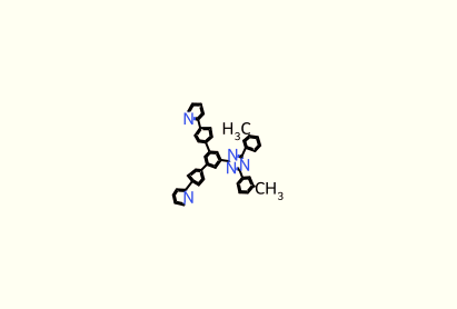 Cc1cccc(-c2nc(-c3cccc(C)c3)nc(-c3cc(-c4ccc(-c5ccccn5)cc4)cc(-c4ccc(-c5ccccn5)cc4)c3)n2)c1